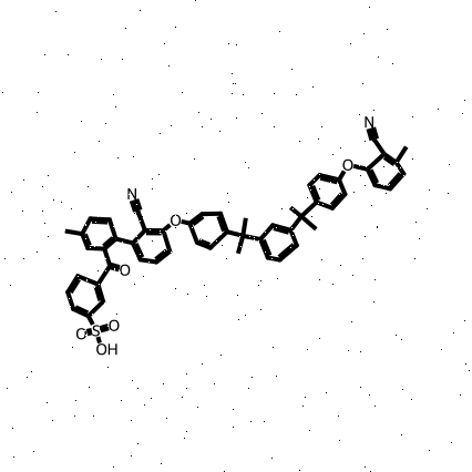 Cc1ccc(-c2cccc(Oc3ccc(C(C)(C)c4cccc(C(C)(C)c5ccc(Oc6cccc(C)c6C#N)cc5)c4)cc3)c2C#N)c(C(=O)c2cccc(S(=O)(=O)O)c2)c1